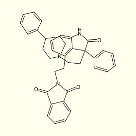 O=C1c2ccccc2C(=O)N1CCc1cccc2c1C(CCN1CCC(c3ccccc3)CC1)(c1ccccc1)C(=O)N2